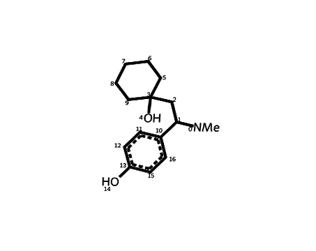 CNC(CC1(O)CCCCC1)c1ccc(O)cc1